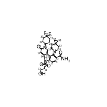 NC(=O)c1ccc(NS(=O)(=O)CCO)c(-c2ccc(=O)n(C3CCC(F)(F)CC3)c2)c1N1CCC2(CC1)CC2